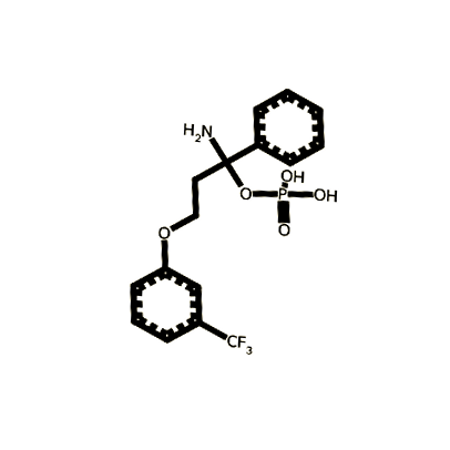 NC(CCOc1cccc(C(F)(F)F)c1)(OP(=O)(O)O)c1ccccc1